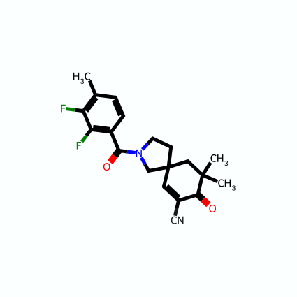 Cc1ccc(C(=O)N2CCC3(C=C(C#N)C(=O)C(C)(C)C3)C2)c(F)c1F